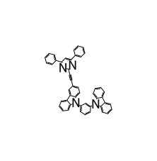 C(#Cc1nc(-c2ccccc2)cc(-c2ccccc2)n1)c1ccc2c(c1)c1ccccc1n2-c1cccc(-n2c3ccccc3c3ccccc32)c1